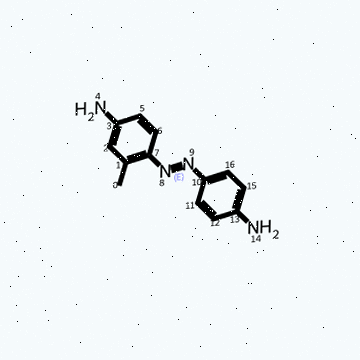 Cc1cc(N)ccc1/N=N/c1ccc(N)cc1